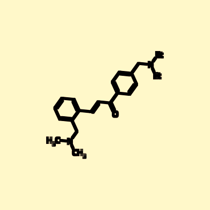 CCN(CC)Cc1ccc(C(=O)C=Cc2ccccc2CN(C)C)cc1